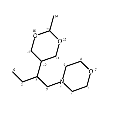 CCC(CN1CCOCC1)C1COC(C)OC1